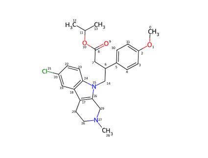 COc1ccc(C(CC(=O)OC(C)C)Cn2c3c(c4cc(Cl)ccc42)CCN(C)C3)cc1